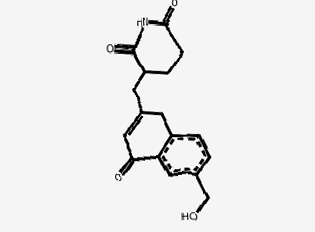 O=C1CCC(CC2=CC(=O)c3cc(CO)ccc3C2)C(=O)N1